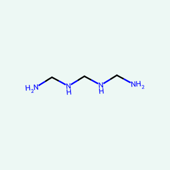 NCNCNCN